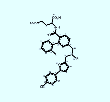 CSCCC(NC(=O)c1ccc(CN(Cc2ccc(-c3ccc(Cl)cc3)o2)C(C)C)cc1-c1ccccc1C)C(=O)O